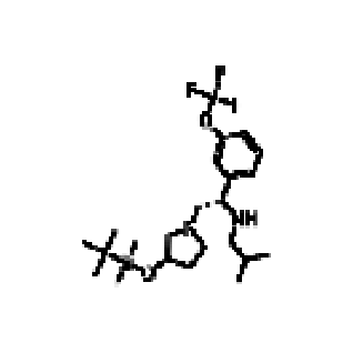 CC(C)CN[C@H](CN1CC[C@@H](O[Si](C)(C)C(C)(C)C)C1)c1cccc(OC(F)(F)F)c1